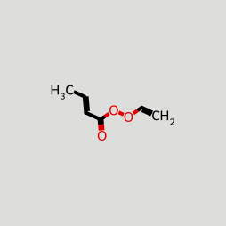 C=COOC(=O)/C=C/C